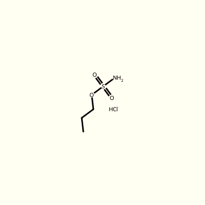 CCCOS(N)(=O)=O.Cl